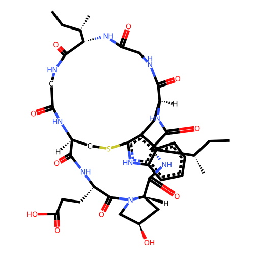 CC[C@H](C)[C@@H]1NC(=O)CNC(=O)[C@@H]2Cc3c([nH]c4ccccc34)SC[C@H](NC(=O)CNC1=O)C(=O)N[C@@H](CCC(=O)O)C(=O)N1C[C@H](O)C[C@H]1C(=O)N[C@@H]([C@@H](C)CC)C(=O)N2